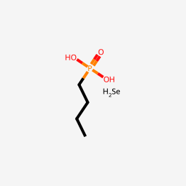 CCCCP(=O)(O)O.[SeH2]